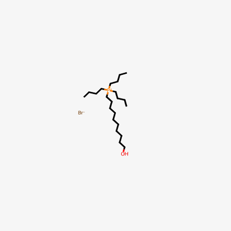 CCCC[P+](CCCC)(CCCC)CCCCCCCCCCO.[Br-]